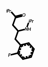 CC(C)NC(CC(=O)C(C)C)Cc1ccccc1F